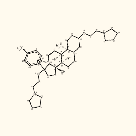 Cc1ccc(C2(OCCN3CCCC3)CC[C@@]3(O)[C@@H]4CCC5CC(OCCN6CCCC6)CC[C@]5(C)[C@@H]4CC[C@]23C)cc1